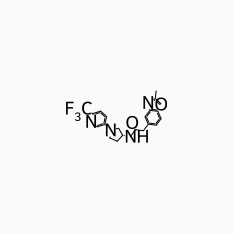 Cc1nc2cc(CC(=O)N[C@@H]3CCN(c4ccc(C(F)(F)F)nc4)C3)ccc2o1